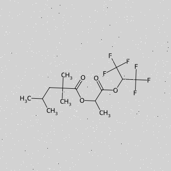 CC(C)CC(C)(C)C(=O)OC(C)C(=O)OC(C(F)(F)F)C(F)(F)F